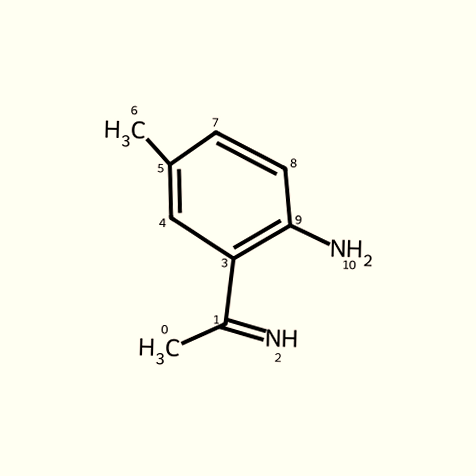 CC(=N)c1cc(C)ccc1N